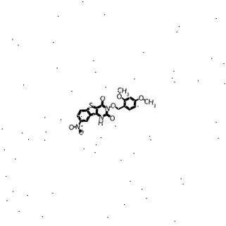 COc1ccc(COn2c(=O)[nH]c3c(sc4ccc([N+](=O)[O-])cc43)c2=O)c(OC)c1